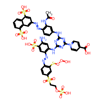 CC(=O)Nc1cc(Nc2nc(Nc3cc(N)c(S(=O)(=O)O)cc3N=Nc3ccc(S(=O)(=O)CCOS(=O)(=O)O)cc3SOOO)nc(-[n+]3ccc(C(=O)O)cc3)n2)ccc1N=Nc1cc(S(=O)(=O)O)c2cccc(S(=O)(=O)O)c2c1